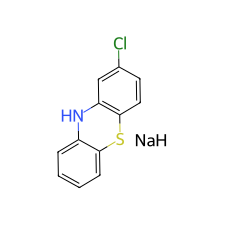 Clc1ccc2c(c1)Nc1ccccc1S2.[NaH]